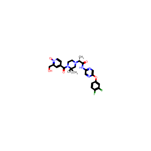 C[C@H](C(=O)Nc1cnc(Oc2ccc(F)c(F)c2)cn1)N1CCN(C(=O)c2cc[n+]([O-])c(CO)c2)C(C)(C)C1